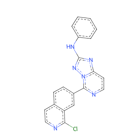 Clc1nccc2ccc(-c3nccc4nc(Nc5ccccc5)nn34)cc12